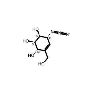 [N-]=[N+]=N[C@@H]1C=C(CO)[C@H](O)[C@@H](O)[C@H]1O